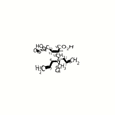 C=CC[N+](C)(C)CC=C.O=C(O)/C=C\C(=O)O.O=S=O.[Cl-]